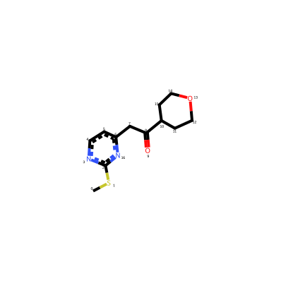 CSc1nccc(CC(=O)C2CCOCC2)n1